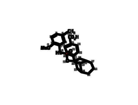 COc1ccc(C)cc1NC(=O)OC1CC2CCCC(C1)N2Cc1ccc(C(=O)O)cc1